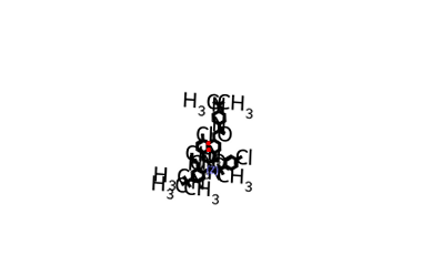 CCOc1cc(C(C)(C)C)ncc1/C(=N/C(C)(C)C1C=CC(Cl)=CC1)N(Cc1ccc(Cl)cc1)C(=O)N1CCC(CC(=O)N2CCC(N(C)C)CC2)CC1